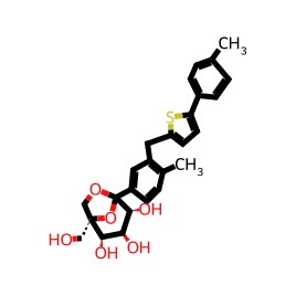 Cc1ccc(-c2ccc(Cc3cc(C45OC[C@@](CO)(O4)[C@@H](O)[C@H](O)[C@H]5O)ccc3C)s2)cc1